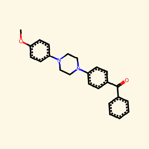 COc1ccc(N2CCN(c3ccc(C(=O)c4ccccc4)cc3)CC2)cc1